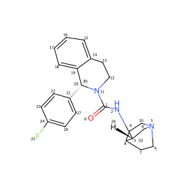 O=C(N[C@@H]1CN2CCC1CC2)N1CCc2ccccc2[C@H]1c1ccc(F)cc1